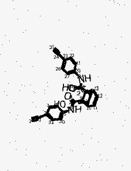 C#Cc1ccc(NC(=O)C2C3C=CC(C2C(=O)O)C(C(=O)Nc2ccc(C#C)cc2)C3C(=O)O)cc1